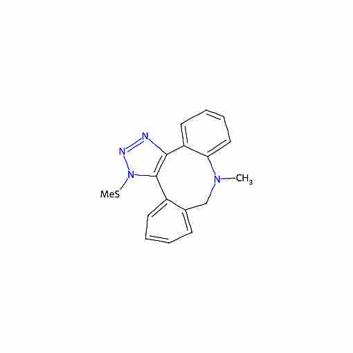 CSn1nnc2c1-c1ccccc1CN(C)c1ccccc1-2